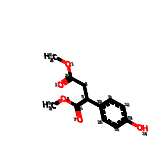 COC(=O)CC(C(=O)OC)c1ccc(O)cc1